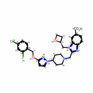 O=C(O)c1ccc2nc(CN3CCC(n4ccc(OCc5ccc(Cl)cc5F)n4)CC3)n(C[C@@H]3CCO3)c2c1